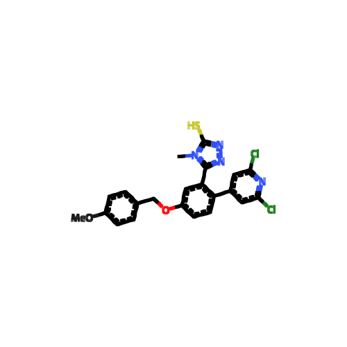 COc1ccc(COc2ccc(-c3cc(Cl)nc(Cl)c3)c(-c3nnc(S)n3C)c2)cc1